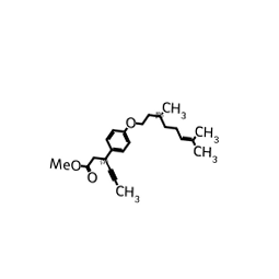 CC#C[C@@H](CC(=O)OC)c1ccc(OCC[C@H](C)CCC=C(C)C)cc1